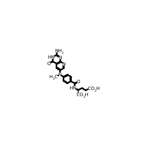 CN(c1ccc(C(=O)N[C@@H](CCC(=O)O)C(=O)O)cc1)c1cnc2nc(N)[nH]c(=O)c2c1